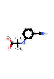 CC(C)(Nc1cccc(C#N)c1)C(=O)O